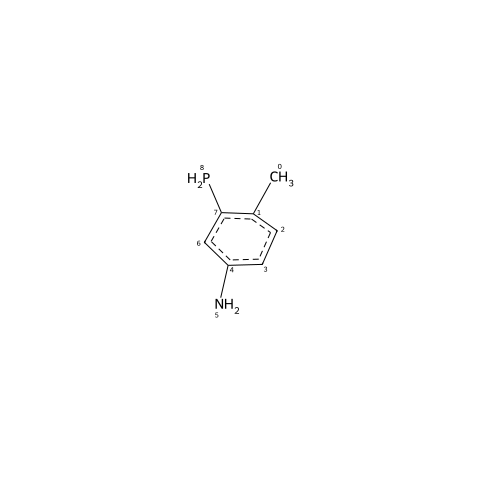 Cc1ccc(N)cc1P